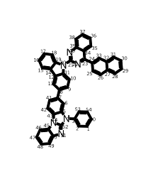 c1ccc(-n2c3cc(-c4ccc5c(c4)c4ccccc4n5-c4nc(-c5ccc6ccccc6c5)c5ccccc5n4)ccc3n3c4ccccc4nc23)cc1